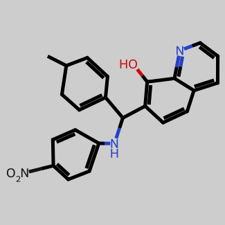 CC1C=CC(C(Nc2ccc([N+](=O)[O-])cc2)c2ccc3cccnc3c2O)=CC1